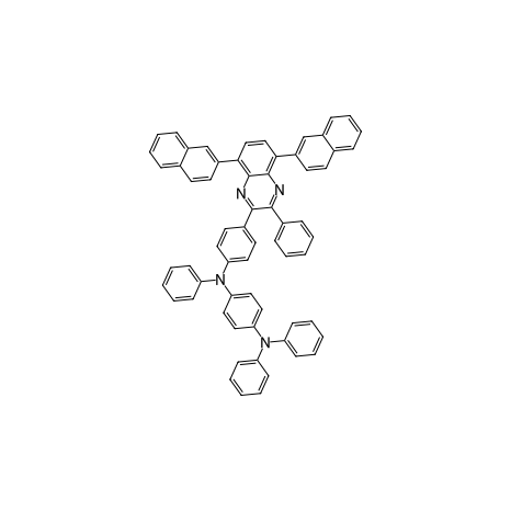 c1ccc(-c2nc3c(-c4ccc5ccccc5c4)ccc(-c4ccc5ccccc5c4)c3nc2-c2ccc(N(c3ccccc3)c3ccc(N(c4ccccc4)c4ccccc4)cc3)cc2)cc1